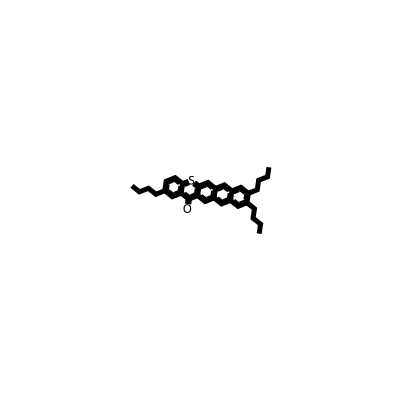 CCCCc1ccc2sc3cc4cc5cc(CCCC)c(CCCC)cc5cc4cc3c(=O)c2c1